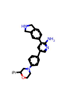 CC(C)C1CN(c2ccc(-c3cnc(N)c(-c4ccc5c(c4)CNC5)c3)cc2)CCO1